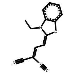 [C-]#[N+]/C(C#N)=C\C=C1\Oc2ccccc2N1CC